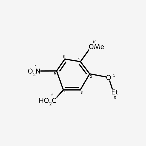 CCOc1cc(C(=O)O)c([N+](=O)[O-])cc1OC